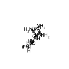 CC(C)O[SiH](C)CCCNC(=O)NCCNC(=O)CN1CCCN(CC(N)=O)CCN(CC(N)=O)CCCN(CC(N)=O)CC1